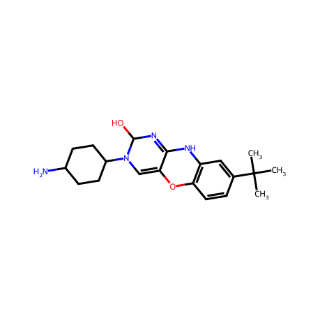 CC(C)(C)c1ccc2c(c1)NC1=NC(O)N(C3CCC(N)CC3)C=C1O2